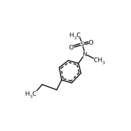 CCCc1ccc(N(C)S(C)(=O)=O)cc1